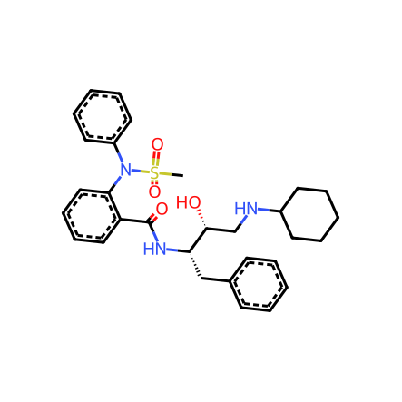 CS(=O)(=O)N(c1ccccc1)c1ccccc1C(=O)N[C@@H](Cc1ccccc1)[C@H](O)CNC1CCCCC1